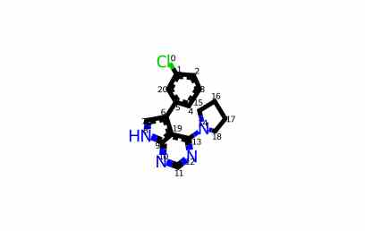 Clc1cccc(-c2c[nH]c3ncnc(N4CCCC4)c23)c1